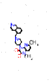 Cc1ccc2c(n1)n(C1CCN(Cc3cccc4cnccc34)CC1)c(=O)c(=O)n2C